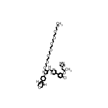 COCCOCCOCCOCCOCCOCCOCCOc1nn(C2CCC(N3[C@@H]4CC[C@H]3COC4)CC2)cc1Nc1ncc(-c2ccc(Cl)c(O[C@@H](C)Cn3cnnn3)c2)cn1